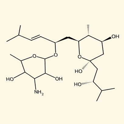 CC(C)/C=C/[C@@H](C[C@@H]1O[C@](O)(C[C@@H](O)C(C)C)C[C@H](O)[C@H]1C)OC1OC(C)C(O)C(N)C1O